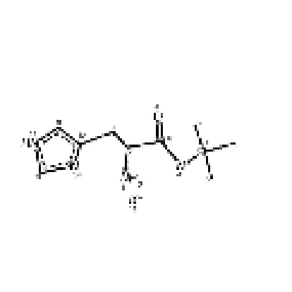 C[Si](C)(C)[N-]C(=O)[C@@H](N)Cc1c[nH]cn1.[K+]